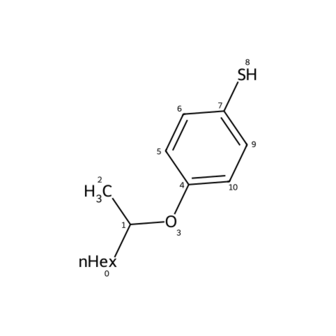 CCCCCCC(C)Oc1ccc(S)cc1